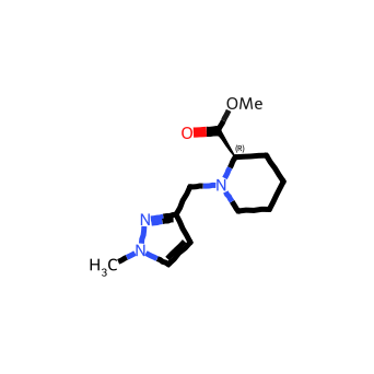 COC(=O)[C@H]1CCCCN1Cc1ccn(C)n1